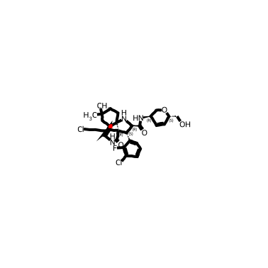 CC1(C)CCC2(CC1)N[C@@H](C(=O)N[C@@H]1C=C[C@@H](CO)OC1)[C@H](c1cccc(Cl)c1F)[C@]21C(=O)Nc2cc(Cl)ccc21